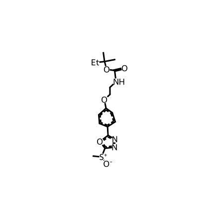 CCC(C)(C)OC(=O)NCCOc1ccc(-c2nnc([S+](C)[O-])o2)cc1